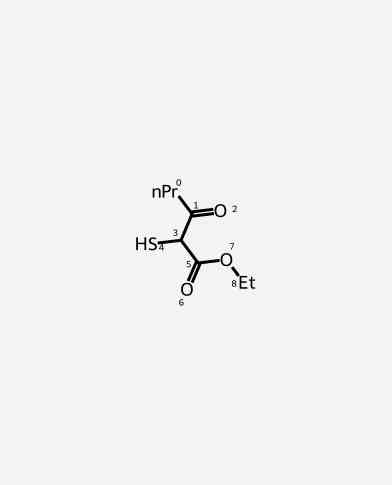 CCCC(=O)C(S)C(=O)OCC